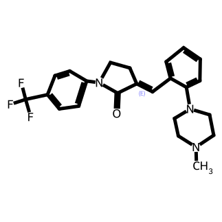 CN1CCN(c2ccccc2/C=C2\CCN(c3ccc(C(F)(F)F)cc3)C2=O)CC1